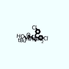 C=C/C=C(\C[C@H](c1cccc(Cl)c1)[C@@H](N)c1ccc(Cl)cc1)C(=O)N[C@H](CO)C(C)(C)C